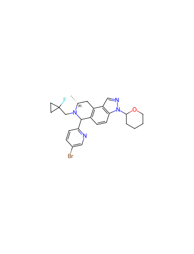 C[C@@H]1Cc2c(ccc3c2cnn3C2CCCCO2)C(c2ccc(Br)cn2)N1CC1(F)CC1